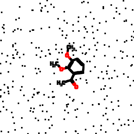 COc1cccc(C(C)=O)c1OC